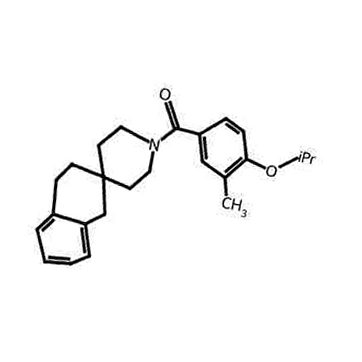 Cc1cc(C(=O)N2CCC3(CCc4ccccc4C3)CC2)ccc1OC(C)C